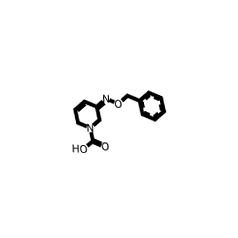 O=C(O)N1CC=CC(=NOCc2ccccc2)C1